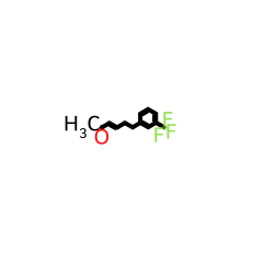 CC(=O)C=CCCc1cccc(C(F)(F)F)c1